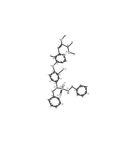 CO/C(=C/c1nccc(Oc2ccc(N(Cc3ccccc3)S(=O)(=O)NCc3ccccc3)cc2F)c1C)C(C)OC